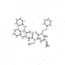 CC(C)CC(NC(=O)C(CCc1ccccc1)NC(=O)OC(C)(C)C)C(=O)N[C@@H](Cc1ccccc1)C(=O)OCc1ccccc1